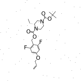 C=CCOc1cc(F)c(COC(=O)N2CCN(C(=O)OC(C)(C)C)C[C@H]2CC)c(F)c1